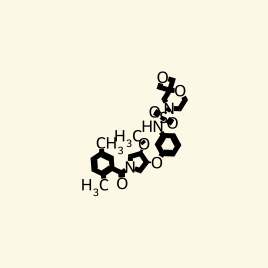 CO[C@@H]1CN(C(=O)c2cc(C)ccc2C)C[C@H]1Oc1cccc(NS(=O)(=O)N2CCOC3(COC3)C2)c1